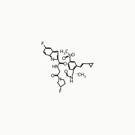 C[C@H](NC(=O)[C@@H]1C[C@@H](F)CN1C(=O)CNC(=O)c1ccc2cc(F)ccc2n1)c1ccc(S(C)(=O)=O)cc1/C=C/C1CC1